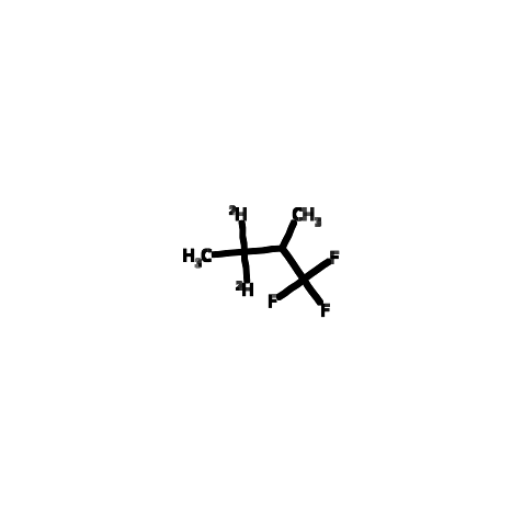 [2H]C([2H])(C)C(C)C(F)(F)F